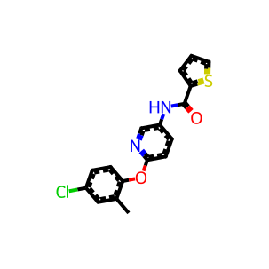 Cc1cc(Cl)ccc1Oc1ccc(NC(=O)c2cccs2)cn1